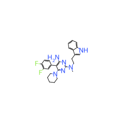 CN(CCc1c[nH]c2ccccc12)c1nc(N)c(-c2ccc(F)c(F)c2)c(N2CCCCC2)n1